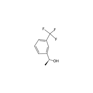 C[C@H](O)c1cccc(C(F)(F)F)c1